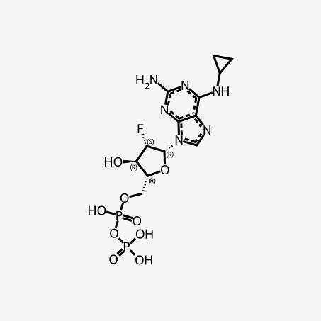 Nc1nc(NC2CC2)c2ncn([C@@H]3O[C@H](COP(=O)(O)OP(=O)(O)O)[C@@H](O)[C@@H]3F)c2n1